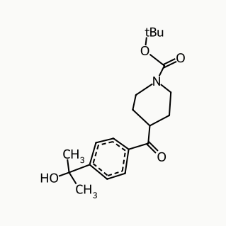 CC(C)(C)OC(=O)N1CCC(C(=O)c2ccc(C(C)(C)O)cc2)CC1